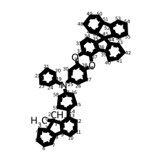 CC1(C)c2ccccc2-c2cccc(-c3ccc(N(c4ccccc4)c4ccc5c(c4)Oc4ccc6c(c4O5)-c4ccccc4C64c5ccccc5-c5ccccc54)cc3)c21